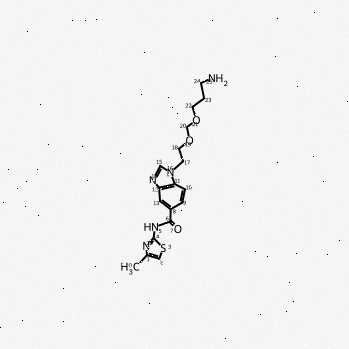 Cc1csc(NC(=O)c2ccc3c(c2)ncn3CCOCOCCCN)n1